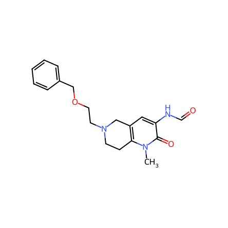 Cn1c2c(cc(NC=O)c1=O)CN(CCOCc1ccccc1)CC2